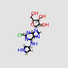 OCC1O[C@@H](n2cnc3c(Nc4cc[nH]c4)nc(Cl)nc32)[C@H](O)[C@H]1O